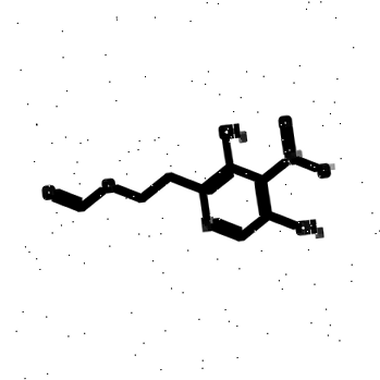 Cc1cnc(CCOC=O)c(C)c1[N+](=O)[O-]